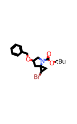 CC(C)(C)OC(=O)N1CC(OCc2ccccc2)CC12CC2Br